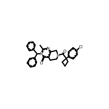 Cc1nc2c(c(=O)n1C(c1ccccc1)c1ccccc1)CCN(C(=O)C1(c3ccc(Cl)cc3)CCC1)C2